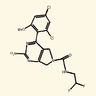 COc1cc(Cl)cc(Cl)c1-c1nc(N)nc2c1CN(C(=O)NCC(F)F)C2